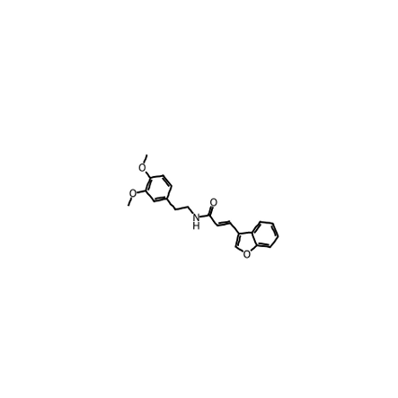 COc1ccc(CCNC(=O)/C=C/c2coc3ccccc23)cc1OC